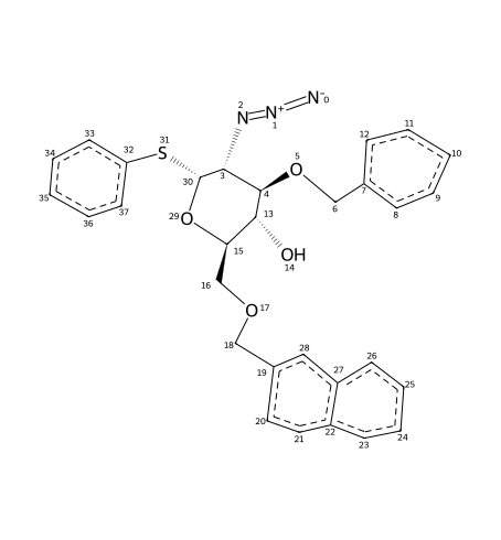 [N-]=[N+]=N[C@@H]1[C@@H](OCc2ccccc2)[C@H](O)[C@@H](COCc2ccc3ccccc3c2)O[C@@H]1Sc1ccccc1